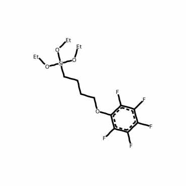 CCO[Si](CCCCOc1c(F)c(F)c(F)c(F)c1F)(OCC)OCC